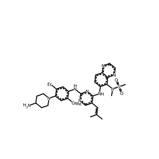 CCc1cc(Nc2ncc(C=C(C)C)c(Nc3ccc4nccnc4c3N(C)S(C)(=O)=O)n2)c(OC)cc1N1CCC(N)CC1